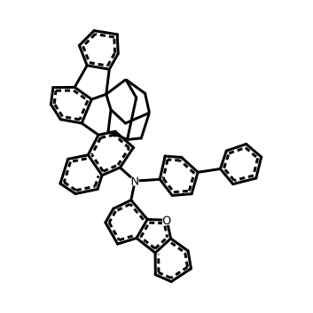 c1ccc(-c2ccc(N(c3ccc(-c4cccc5c4C4(c6ccccc6-5)C5CC6CC(C5)CC4C6)c4ccccc34)c3cccc4c3oc3ccccc34)cc2)cc1